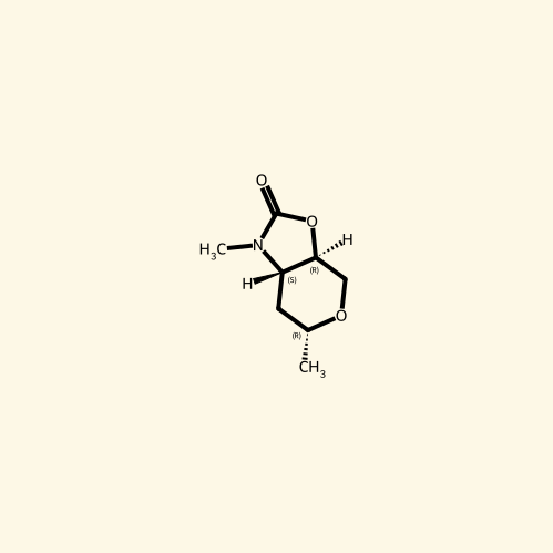 C[C@@H]1C[C@H]2[C@H](CO1)OC(=O)N2C